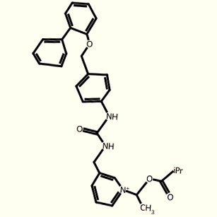 CC(C)C(=O)OC(C)[n+]1cccc(CNC(=O)Nc2ccc(COc3ccccc3-c3ccccc3)cc2)c1